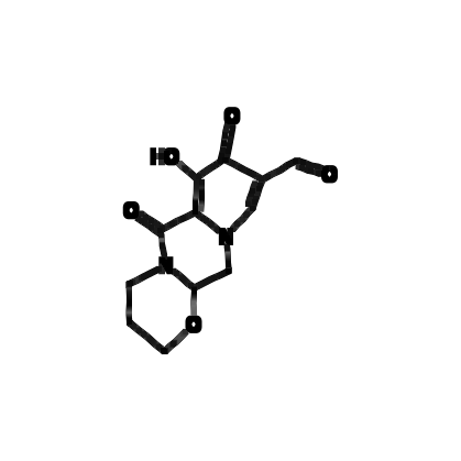 O=Cc1cn2c(c(O)c1=O)C(=O)N1CCCOC1C2